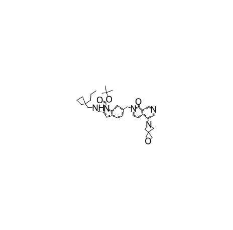 CCCC1(CNCc2cc3ccc(Cn4ccc5c(N6CC7(COC7)C6)cncc5c4=O)cc3n2C(=O)OC(C)(C)C)CCC1